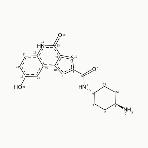 N[C@H]1CC[C@H](NC(=O)c2cc3c(s2)c(=O)[nH]c2ccc(O)cc23)CC1